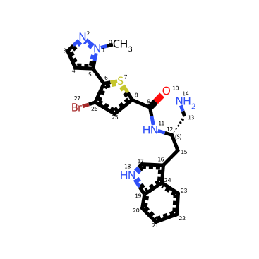 Cn1nccc1-c1sc(C(=O)N[C@H](CN)Cc2c[nH]c3ccccc23)cc1Br